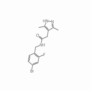 Cc1n[nH]c(C)c1CC(=O)NCc1ccc(Br)cc1F